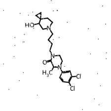 CC1C(=O)N(CCCCN2CCC3(CC3)C(O)C2)CCN1c1ccc(Cl)c(Cl)c1